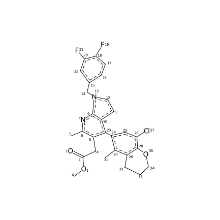 COC(=O)Cc1c(C)nc2c(ccn2Cc2ccc(F)c(F)c2)c1-c1cc(Cl)c2c(c1C)CCCO2